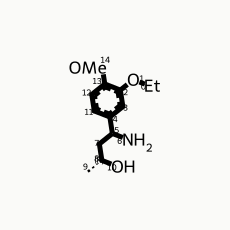 CCOc1cc(C(N)C[C@@H](C)O)ccc1OC